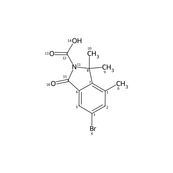 Cc1cc(Br)cc2c1C(C)(C)N(C(=O)O)C2=O